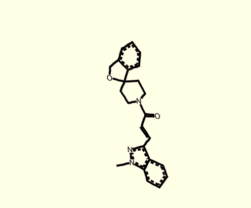 Cn1nc(/C=C/C(=O)N2CCC3(CC2)OCc2ccccc23)c2ccccc21